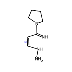 N=C(/C=C\NN)N1CCCC1